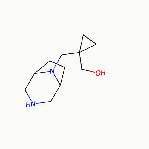 OCC1(CN2C3CCC2CNC3)CC1